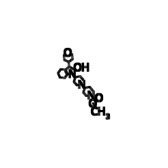 CCOC(=O)N1CCC(N2CCC(N3C4=C(CCCC4)C(C4CCOCC4)C3O)CC2)CC1